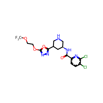 O=C(N[C@@H]1CNCC(c2nnc(OCCOC(F)(F)F)o2)C1)c1ccc(Cl)c(Cl)n1